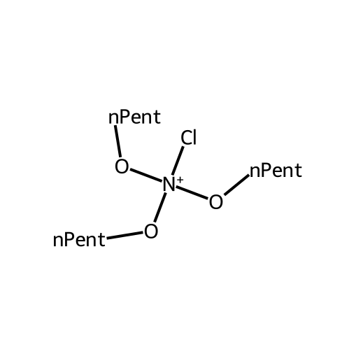 CCCCCO[N+](Cl)(OCCCCC)OCCCCC